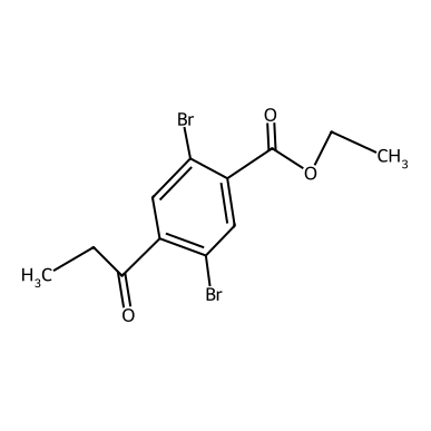 CCOC(=O)c1cc(Br)c(C(=O)CC)cc1Br